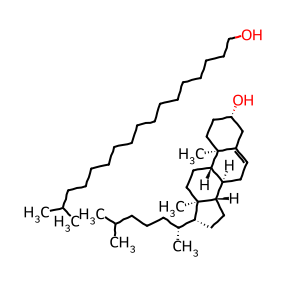 CC(C)CCCCCCCCCCCCCCCO.CC(C)CCC[C@@H](C)[C@H]1CC[C@H]2[C@@H]3CC=C4C[C@@H](O)CC[C@]4(C)[C@H]3CC[C@]12C